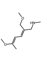 CNC/C(=C/C=C(\C)OC)COC